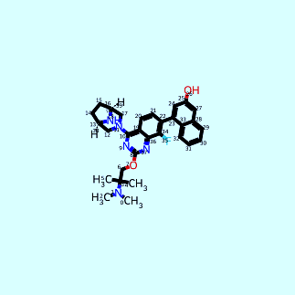 CN(C)C(C)(C)COc1nc(N2C[C@H]3CC[C@@H](C2)N3)c2ccc(-c3cc(O)cc4ccccc34)c(F)c2n1